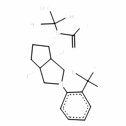 CC(C)(C)N(C(=O)O)[C@H]1CC[C@@H]2CN(c3ccccc3C(F)(F)F)C[C@@H]21